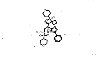 CC(C)(CN(C(=O)C1(S(=O)(=O)C2CCOCC2)CCC1)c1nnc(-c2ccccc2)[nH]1)S(=O)(=O)C1CCOCC1